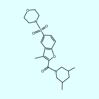 Cc1c(C(=O)N2CC(C)CC(C)C2)oc2ccc(S(=O)(=O)N3CCOCC3)cc12